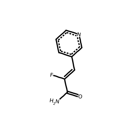 NC(=O)C(F)=Cc1cccnc1